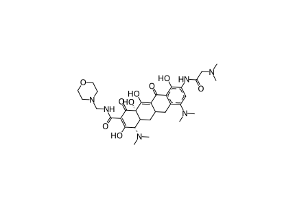 CN(C)CC(=O)Nc1cc(N(C)C)c2c(c1O)C(=O)C1=C(O)[C@]3(O)C(=O)C(C(=O)NCN4CCOCC4)=C(O)[C@@H](N(C)C)C3CC1C2